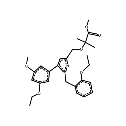 CCOc1cc(OC)cc(-c2cc(COC(C)(C)C(=O)OC)nn2Cc2ccccc2OCC)c1